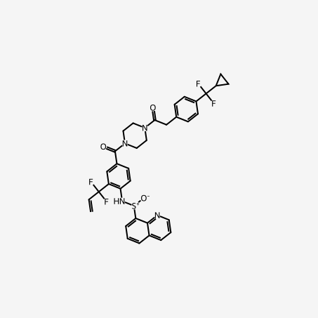 C=CC(F)(F)c1cc(C(=O)N2CCN(C(=O)Cc3ccc(C(F)(F)C4CC4)cc3)CC2)ccc1N[S+]([O-])c1cccc2cccnc12